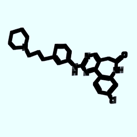 O=C1Cc2cnc(Nc3cccc(CCCN4CCCCC4)c3)nc2-c2ccc(Cl)cc2N1